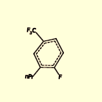 CCCc1cc(C(F)(F)F)ccc1F